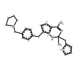 NC1=NC(N)(Cc2ccco2)Nn2c(Cc3ccc(CN4CCCC4)cc3)cnc21